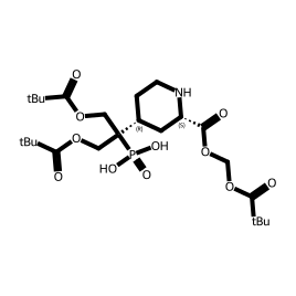 CC(C)(C)C(=O)OCOC(=O)[C@@H]1C[C@H](C(COC(=O)C(C)(C)C)(COC(=O)C(C)(C)C)P(=O)(O)O)CCN1